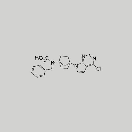 O=C(O)N(Cc1ccccc1)C12CCC(n3ccc4c(Cl)ncnc43)(CC1)C2